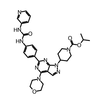 CC(C)OC(=O)N1CCC(n2ncc3c(N4CCOCC4)nc(-c4ccc(NC(=O)Nc5cccnc5)cc4)nc32)CC1